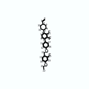 C=CC1CCC(c2ccc(-c3ccc(OCc4ccc(OCC)cc4F)cc3)c(F)c2F)CC1